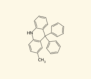 Cc1ccc2c(c1)C(c1ccccc1)(c1ccccc1)c1ccccc1N2